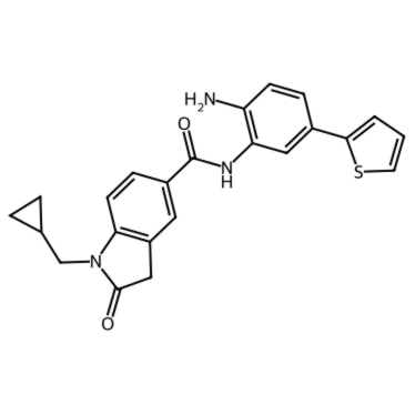 Nc1ccc(-c2cccs2)cc1NC(=O)c1ccc2c(c1)CC(=O)N2CC1CC1